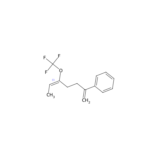 C=C(CC/C(=C\C)OC(F)(F)F)c1ccccc1